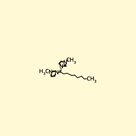 CCCCCCCCC([n+]1ccn(C)c1)[n+]1ccn(C)c1